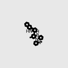 Cc1cc(-c2cccc3c2[nH]c2cc4ccccc4cc23)c2c(c1)N1c3ccccc3[Si](C)(C)c3cccc(c31)B2